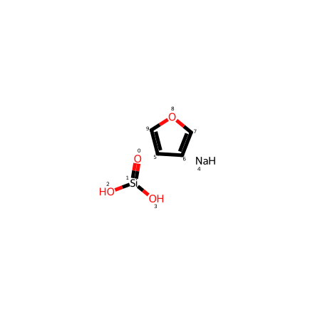 O=[Si](O)O.[NaH].c1ccoc1